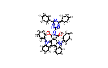 O=C1c2c(c3c(c4ccccc4n3-c3ccccc3)c3c4ccccc4n(-c4ccccc4)c23)C(=O)N1c1nc(-c2ccccc2)nc(-c2ccccc2)n1